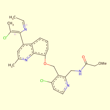 C/C=N\C(=C(/C)Cl)c1cc(C)nc2c(OCc3c(Cl)ccnc3CNC(=O)COC)cccc12